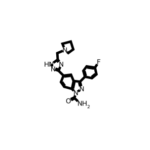 NC(=O)n1nc(-c2ccc(F)cc2)c2cc(-c3n[nH]c(CN4CCCC4)n3)ccc21